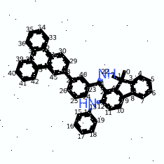 CC1(C)c2ccccc2-c2ccc(Nc3ccccc3)c(C(=N)c3cccc(-c4ccc5c6ccccc6c6ccccc6c5c4)c3)c21